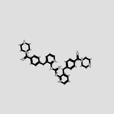 O=C(Oc1ncccc1Cc1ccc(C(=O)N2CCOCC2)cc1)Oc1ncccc1Cc1ccc(C(=O)N2CCOCC2)cc1